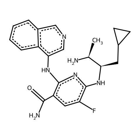 C[C@H](N)[C@@H](CC1CC1)Nc1nc(Nc2cncc3ccccc23)c(C(N)=O)cc1F